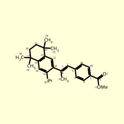 COC(=O)c1ccc(/C=C(\C)c2cc3c(cc2C(C)C)C(C)(C)CCC3(C)C)cc1